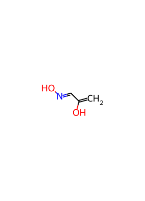 C=C(O)C=NO